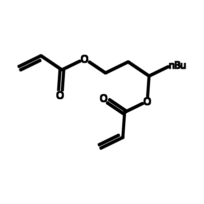 C=CC(=O)OCCC(CCCC)OC(=O)C=C